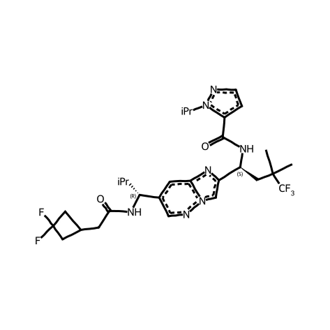 CC(C)[C@@H](NC(=O)CC1CC(F)(F)C1)c1cnn2cc([C@H](CC(C)(C)C(F)(F)F)NC(=O)c3ccnn3C(C)C)nc2c1